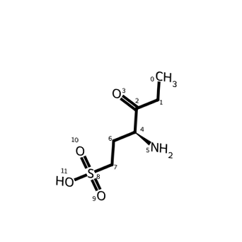 CCC(=O)[C@@H](N)CCS(=O)(=O)O